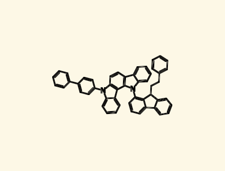 c1ccc(CCC2c3ccccc3-c3cccc(-n4c5ccccc5c5ccc6c(c7ccccc7n6-c6ccc(-c7ccccc7)cc6)c54)c32)cc1